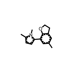 Cc1cc2c(c(-c3ccc(C)n3C)c1)OCC2